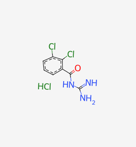 Cl.N=C(N)NC(=O)c1cccc(Cl)c1Cl